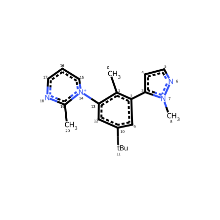 Cc1c(-c2ccnn2C)cc(C(C)(C)C)cc1-[n+]1cccnc1C